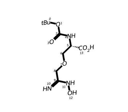 CC(C)(C)OC(=O)N[C@@H](COCC(=N)NO)C(=O)O